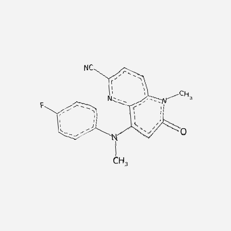 CN(c1ccc(F)cc1)c1cc(=O)n(C)c2ccc(C#N)nc12